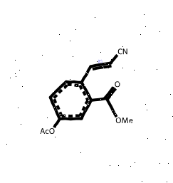 COC(=O)c1cc(OC(C)=O)ccc1/C=C/C#N